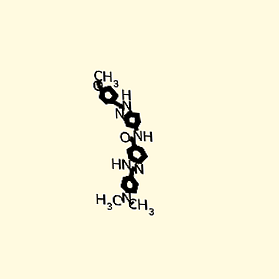 COc1ccc(-c2nc3cc(NC(=O)c4ccc5nc(-c6ccc(N(C)C)cc6)[nH]c5c4)ccc3[nH]2)cc1